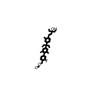 CCC(O)(/C=C/c1ccc(C(CC)(CC)c2cc(C)c(-c3ccc(COC=O)c(F)c3)c(C)c2)cc1C)CC